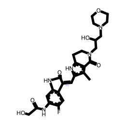 Cc1c(/C=C2\C(=O)Nc3cc(NC(=O)CO)c(F)cc32)[nH]c2c1C(=O)N(CC(O)CN1CCOCC1)CC2